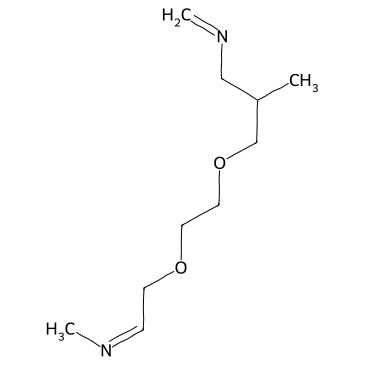 C=NCC(C)COCCOC/C=N\C